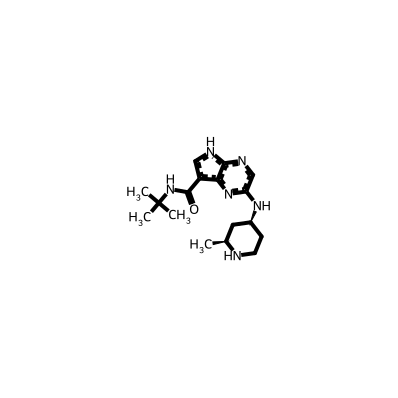 C[C@H]1C[C@@H](Nc2cnc3[nH]cc(C(=O)NC(C)(C)C)c3n2)CCN1